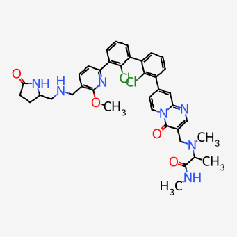 CNC(=O)C(C)N(C)Cc1cnc2cc(-c3cccc(-c4cccc(-c5ccc(CNCC6CCC(=O)N6)c(OC)n5)c4Cl)c3Cl)ccn2c1=O